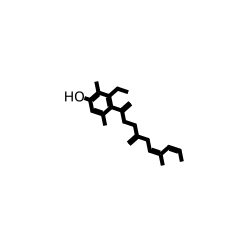 C=C(C/C=C(C)\C=C/C)CCC(=C)c1c(C)cc(O)c(C)c1CC